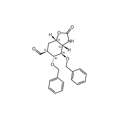 O=C[C@H]1C[C@@H]2OC(=O)N[C@@H]2[C@@H](OCc2ccccc2)[C@@H]1OCc1ccccc1